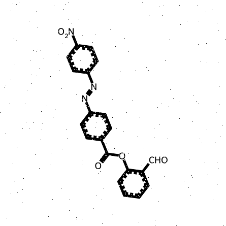 O=Cc1ccccc1OC(=O)c1ccc(N=Nc2ccc([N+](=O)[O-])cc2)cc1